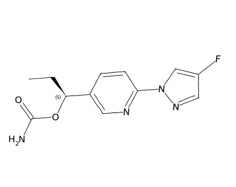 CC[C@H](OC(N)=O)c1ccc(-n2cc(F)cn2)nc1